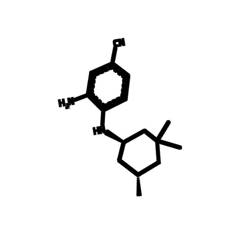 C[C@@H]1C[C@@H](Nc2ccc(C#N)cc2N)CC(C)(C)C1